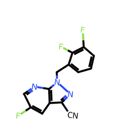 N#Cc1nn(Cc2cccc(F)c2F)c2ncc(F)cc12